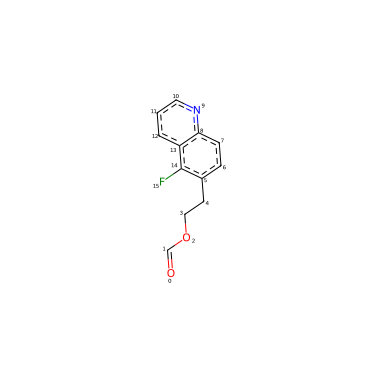 O=COCCc1ccc2ncccc2c1F